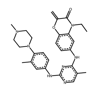 C=C1Oc2ccc(Nc3nc(Nc4ccc(N5CCN(C)CC5)c(C)c4)ncc3C)cc2N(CC)C1=O